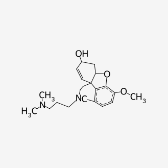 COc1ccc2c3c1OC1CC(O)C=CC31CCN(CCCN(C)C)C2